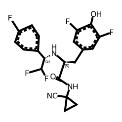 N#CC1(NC(=O)[C@H](Cc2cc(F)c(O)c(F)c2)N[C@@H](c2ccc(F)cc2)C(F)F)CC1